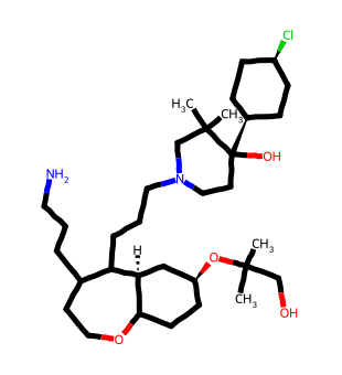 CC(C)(CO)O[C@H]1CCC2OCCC(CCCN)C(CCCN3CCC(O)([C@H]4CC[C@@H](Cl)CC4)C(C)(C)C3)[C@H]2C1